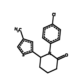 Cc1csc(C2CCCC(=O)N2c2ccc(Cl)cc2)c1